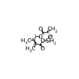 C=CC(=O)OCC(C)=C(C)C(=O)O[SiH2]Cl